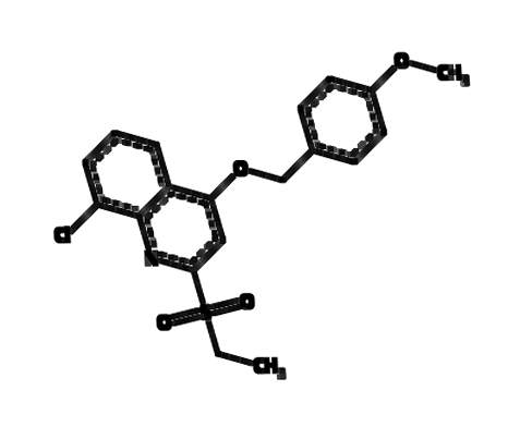 CCS(=O)(=O)c1cc(OCc2ccc(OC)cc2)c2cccc(Cl)c2n1